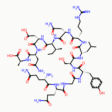 CC[C@H](C)[C@H](NC(=O)[C@H](CC(N)=O)NC(=O)[C@H](CCCNC(=N)N)NC(=O)[C@H](CC(C)C)NC(=O)[C@H](CO)NC(=O)[C@H](Cc1ccc(O)cc1)NC(=O)CNC(=O)[C@H](CCC(N)=O)NC(=O)[C@@H](N)CCC(N)=O)C(=O)N[C@@H](CC(=O)O)C(=O)N[C@@H](CC(N)=O)C(=O)N[C@@H](C)C(=O)O